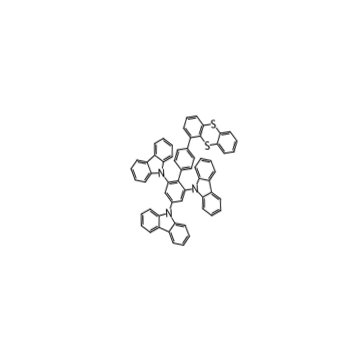 c1ccc2c(c1)Sc1cccc(-c3ccc(-c4c(-n5c6ccccc6c6ccccc65)cc(-n5c6ccccc6c6ccccc65)cc4-n4c5ccccc5c5ccccc54)cc3)c1S2